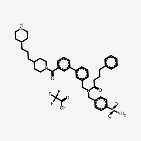 NS(=O)(=O)c1ccc(CN(Cc2cccc(-c3cccc(C(=O)N4CCC(CCCC5CCNCC5)CC4)c3)c2)C(=O)CCCc2ccccc2)cc1.O=C(O)C(F)(F)F